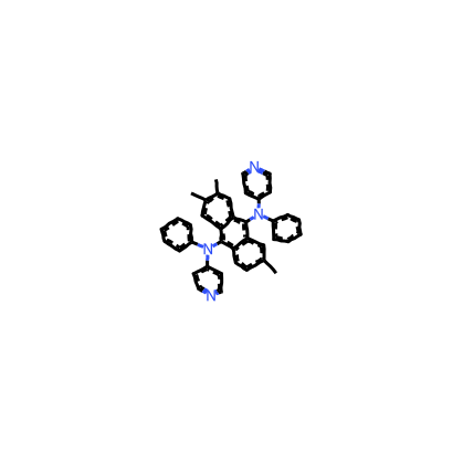 Cc1ccc2c(N(c3ccccc3)c3ccncc3)c3cc(C)c(C)cc3c(N(c3ccccc3)c3ccncc3)c2c1